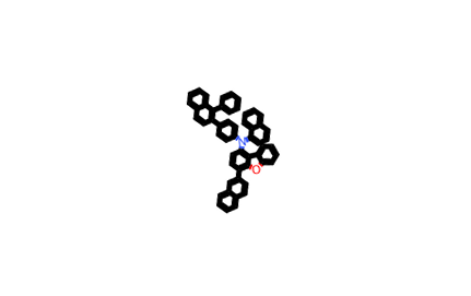 c1ccc(-c2c(-c3ccc(N(c4cccc5ccccc45)c4ccc(-c5ccc6ccccc6c5)c5oc6ccccc6c45)cc3)ccc3ccccc23)cc1